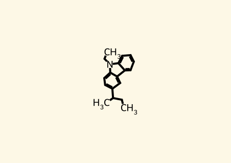 CCC(C)c1ccc2c(c1)c1ccccc1n2CC